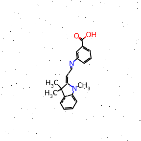 CN1C(=CC=Nc2cccc(C(=O)O)c2)C(C)(C)c2ccccc21